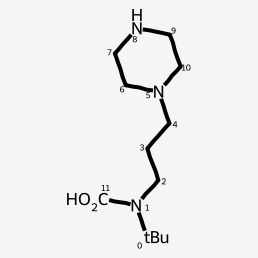 CC(C)(C)N(CCCN1CCNCC1)C(=O)O